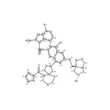 N#Cc1c(N)sc2c(F)ccc(-c3c(Cl)cc4c(N5CCC6(CCCCN6C(=O)n6cncn6)C5)nc(OC[C@@]56CCCN5C[C@H](F)C6)nc4c3F)c12